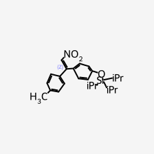 Cc1ccc(/C(=C/[N+](=O)[O-])c2ccc(O[Si](C(C)C)(C(C)C)C(C)C)cc2)cc1